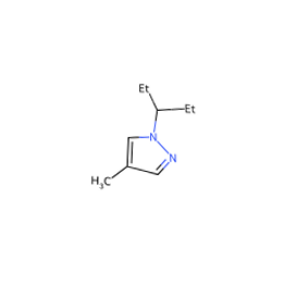 CCC(CC)n1cc(C)cn1